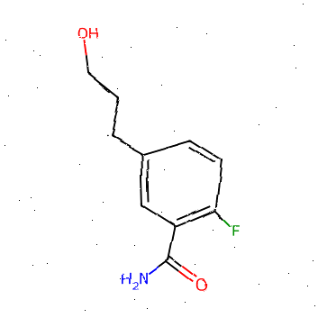 NC(=O)c1cc([CH]CCO)ccc1F